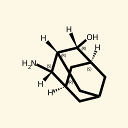 N[C@H]1[C@@H]2CC3C[C@@H](C2)[C@@H](O)[C@@H]1C3